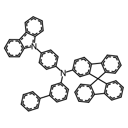 c1ccc(-c2cccc(N(c3ccc(-n4c5ccccc5c5ccccc54)cc3)c3ccc4c(c3)C3(c5ccccc5-c5ccccc53)c3ccccc3-4)c2)cc1